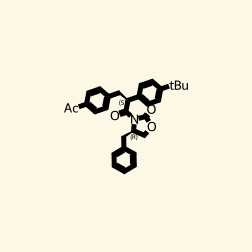 CC(=O)c1ccc(C[C@H](C(=O)N2C(=O)OC[C@H]2Cc2ccccc2)c2ccc(C(C)(C)C)cc2)cc1